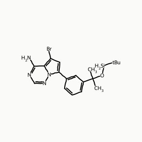 CC(C)(C)[SiH2]OC(C)(C)c1cccc(-c2cc(Br)c3c(N)ncnn23)c1